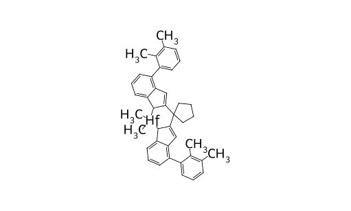 Cc1cccc(-c2cccc3c2C=C2[CH]3[Hf]([CH3])([CH3])[CH]3C(=Cc4c(-c5cccc(C)c5C)cccc43)C23CCCC3)c1C